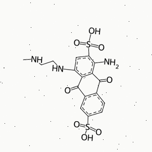 CNCCNc1cc(S(=O)(=O)O)c(N)c2c1C(=O)c1cc(S(=O)(=O)O)ccc1C2=O